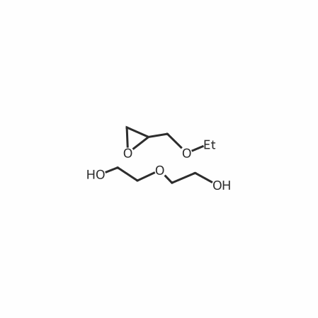 CCOCC1CO1.OCCOCCO